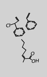 C=CC(Cl)c1ccccc1.C=Cc1ccccc1.CCCCC=C(C)C(=O)O